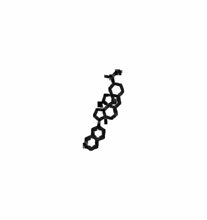 CC(C)N(C)[C@H]1CCC2=CC3=CC[C@]4(C)[C@@H](c5ccc6ccncc6c5)CC[C@H]4[C@@]34CC[C@]2(C1)O4